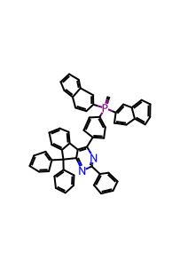 C=P(c1ccc(-c2nc(-c3ccccc3)nc3c2-c2ccccc2C3(c2ccccc2)c2ccccc2)cc1)(c1ccc2ccccc2c1)c1ccc2ccccc2c1